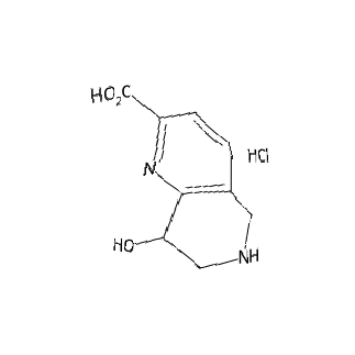 Cl.O=C(O)c1ccc2c(n1)C(O)CNC2